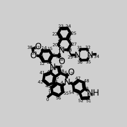 Cc1ccc(N(C(=O)c2cn(-c3cc4c(cc3C(=O)N3Cc5ccccc5C[C@H]3CN3CCN(C)CC3)OCO4)c3ccccc23)c2ccc3[nH]ccc3c2)cc1